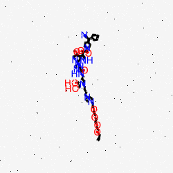 C#CCOCCOCCOCCOCCN1CCN(CCCCN(CCCNC(=O)c2ncn(-c3ncc(OC)c4c(C(=O)C(=O)N5CCC(=C(C#N)c6ccccc6)CC5)c[nH]c34)n2)C(CO)CO)CC1